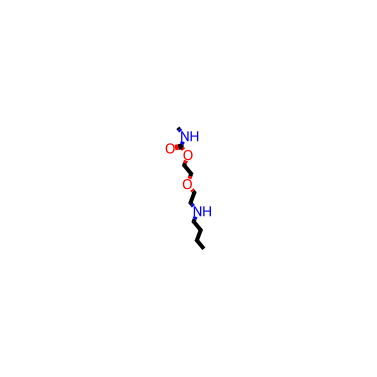 CCCCNCCOCCOC(=O)NC